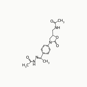 CC(=O)NCC1CN(c2ccc(/C(C)=N/NC(C)=O)cc2)C(=O)O1